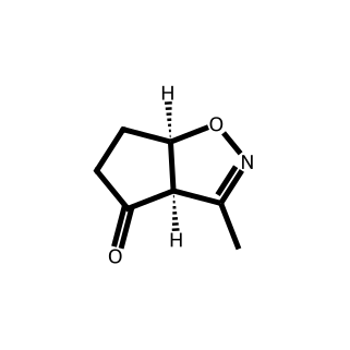 CC1=NO[C@@H]2CCC(=O)[C@H]12